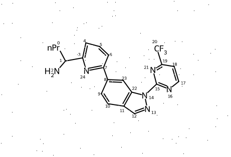 CCCC(N)c1cccc(-c2ccc3cnn(-c4nccc(C(F)(F)F)n4)c3c2)n1